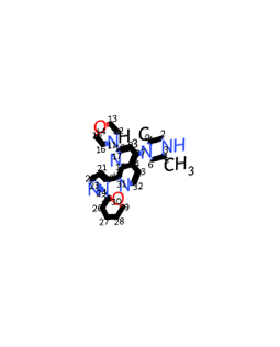 C[C@@H]1CN[C@@H](C)CN1c1cc(N2CCOCC2)nc2c(-c3ccnn3C3CCCCO3)nccc12